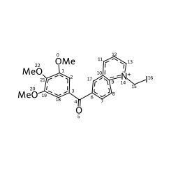 COc1cc(C(=O)c2ccc3c(ccc[n+]3CI)c2)cc(OC)c1OC